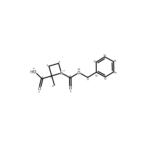 CC1(C(=O)O)CCN1C(=O)OCc1ccccc1